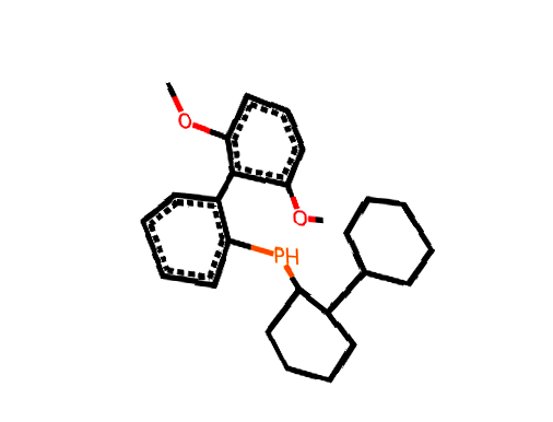 COc1cccc(OC)c1-c1ccccc1PC1CCCCC1C1CCCCC1